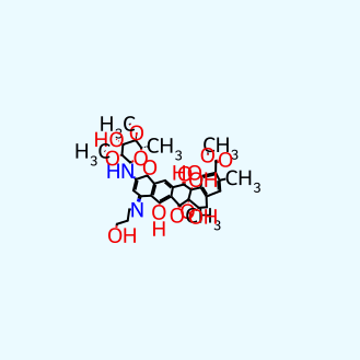 COC(=O)c1c(C)cc2c(c1O)[C@]1(O)C(=O)c3cc4c(c(O)c3C(=O)[C@]1(OC)[C@H](O)C2)C(=NCCCO)C=C(N[C@H]1O[C@@H](C)[C@H](OC)[C@@H](O)[C@H]1OC)C4=O